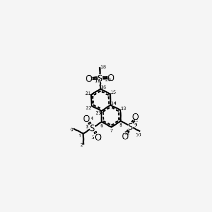 CC(C)S(=O)(=O)c1cc(S(C)(=O)=O)cc2cc(S(C)(=O)=O)ccc12